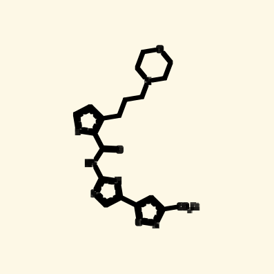 CCOC(=O)c1cc(-c2csc(NC(=O)c3sccc3CCCN3CCOCC3)n2)on1